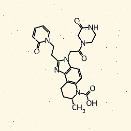 C[C@H]1CCc2c(ccc3c2nc(CCn2ccccc2=O)n3CC(=O)N2CCNC(=O)C2)N1C(=O)O